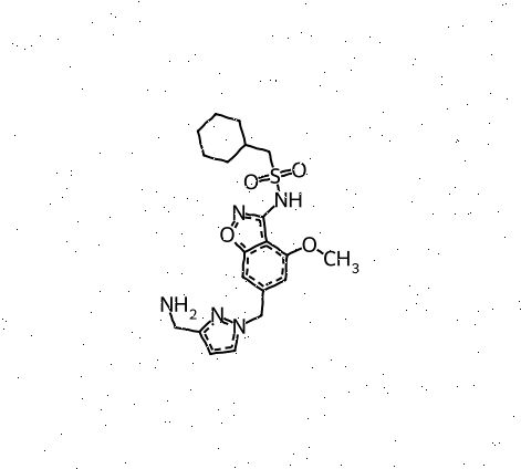 COc1cc(Cn2ccc(CN)n2)cc2onc(NS(=O)(=O)CC3CCCCC3)c12